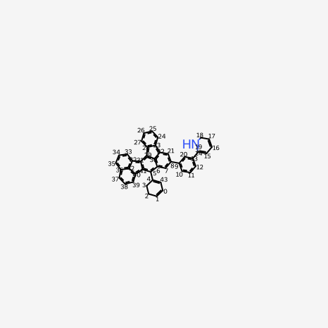 C1=CCCC(c2c3cc(-c4cccc(C5=CC=CCN5)c4)cc4c5ccccc5c(c34)c3c4cccc5cccc(c23)c54)=C1